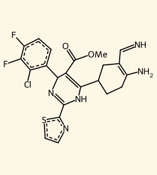 COC(=O)C1=C(C2CCC(N)=C(C=N)C2)NC(c2nccs2)=NC1c1ccc(F)c(F)c1Cl